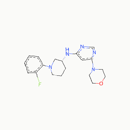 Fc1ccccc1N1CCC[C@@H](Nc2cc(N3CCOCC3)ncn2)C1